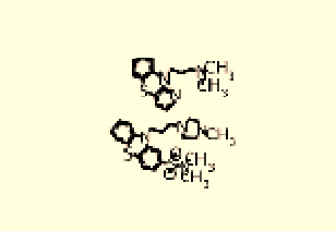 CN(C)CCCN1c2ccccc2Sc2cccnc21.CN1CCN(CCCN2c3ccccc3Sc3ccc(S(=O)(=O)N(C)C)cc32)CC1